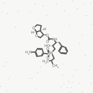 CC(C)CN(C[C@H](O)[C@@H](Cc1ccccc1)NC(=O)O[C@H]1CO[C@H]2OCC[C@H]21)S(=O)(=O)c1ccc(N)cc1